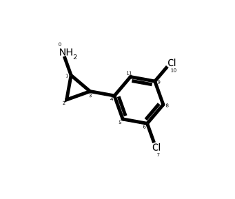 NC1CC1c1cc(Cl)cc(Cl)c1